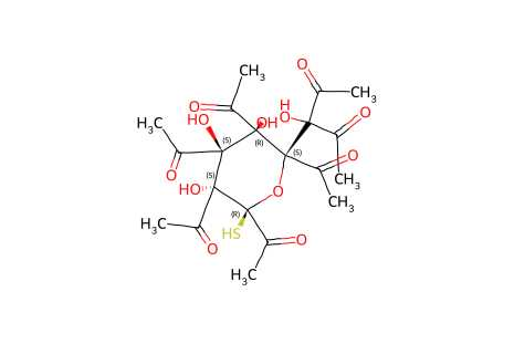 CC(=O)C(O)(C(C)=O)[C@@]1(C(C)=O)O[C@](S)(C(C)=O)[C@@](O)(C(C)=O)[C@](O)(C(C)=O)[C@]1(O)C(C)=O